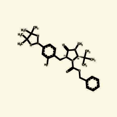 CN1C(=O)[C@H](Cc2ccc(B3OC(C)(C)C(C)(C)O3)cc2[18F])N(C(=O)OCc2ccccc2)[C@H]1C(C)(C)C